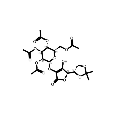 CC(=O)OC[C@H]1O[C@@H](OC2=C(O)[C@@H]([C@@H]3COC(C)(C)O3)OC2=O)[C@H](OC(C)=O)[C@@H](OC(C)=O)[C@@H]1OC(C)=O